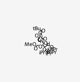 COC(=O)CO[C@H]1C2O[Si](C(C)C)(C(C)C)O[Si](C(C)C)(C(C)C)OC[C@H]2O[C@H]1n1ccc(=O)n(COC(=O)C(C)(C)C)c1=O